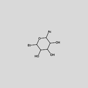 CCC1OC(C(C)=O)C(O)C(O)C1O